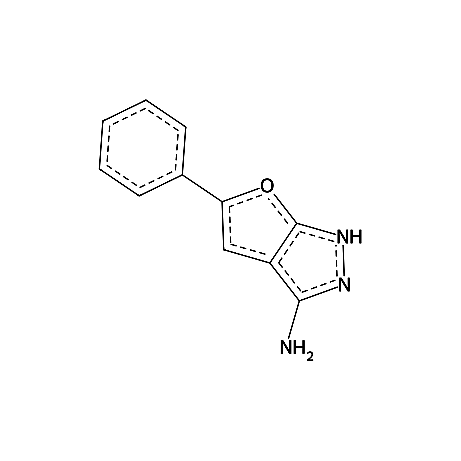 Nc1n[nH]c2oc(-c3ccccc3)cc12